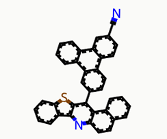 N#Cc1ccc2c3ccc(-c4c5sc6ccccc6c5nc5ccc6ccccc6c45)cc3c3ccccc3c2c1